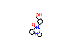 O=C1c2ccccc2N2CCCC2CN1c1cccc(CO)c1